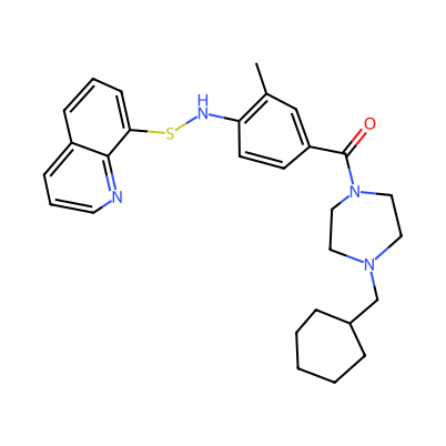 Cc1cc(C(=O)N2CCN(CC3CCCCC3)CC2)ccc1NSc1cccc2cccnc12